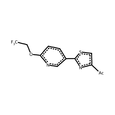 CC(=O)c1csc(-c2ccc(OCC(F)(F)F)nc2)n1